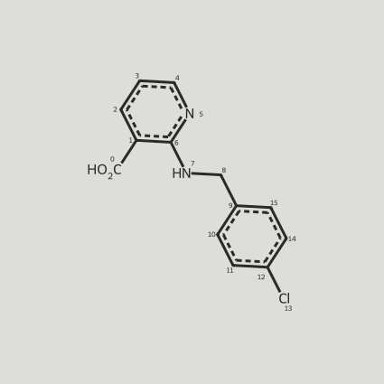 O=C(O)c1cccnc1NCc1ccc(Cl)cc1